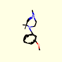 COc1cccc(N2CCN(C)CC2(C)C)c1